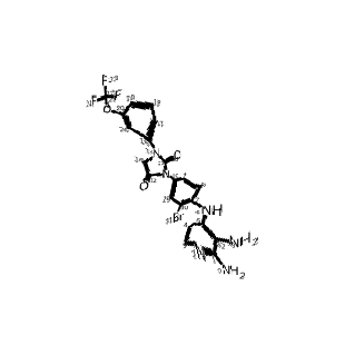 Nc1nccc(Nc2ccc(N3C(=O)CN(c4cccc(OC(F)(F)F)c4)C3=O)cc2Br)c1N